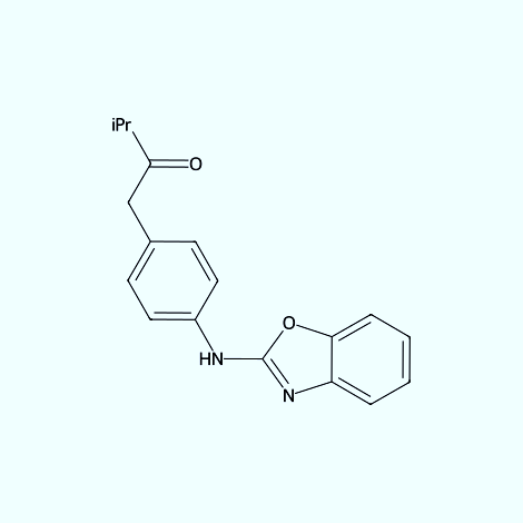 CC(C)C(=O)Cc1ccc(Nc2nc3ccccc3o2)cc1